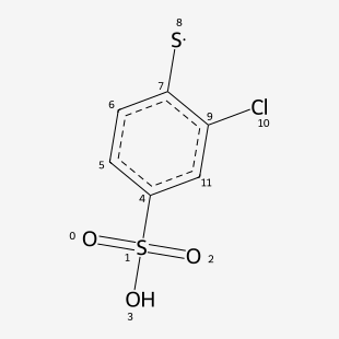 O=S(=O)(O)c1ccc([S])c(Cl)c1